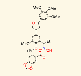 CCCOc1c(OC)cc(C2COC(c3cc(OC)c(OC)c(OC)c3)C2)cc1C(CC)N(O)OC(=O)c1ccc2c(c1)OCO2